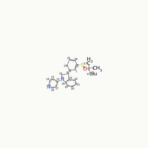 CC(C)(C)C(C)(C)OSC1=CC(C2CN(c3ccncc3)c3ccccc32)CC=C1